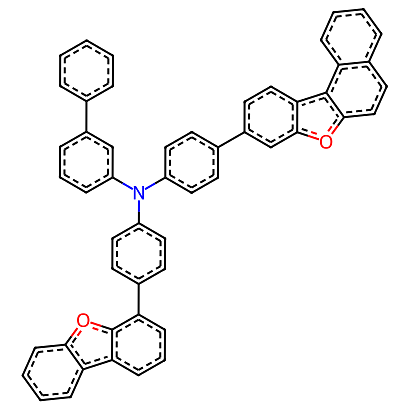 c1ccc(-c2cccc(N(c3ccc(-c4ccc5c(c4)oc4ccc6ccccc6c45)cc3)c3ccc(-c4cccc5c4oc4ccccc45)cc3)c2)cc1